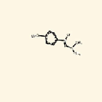 COc1ccc([N+]([O-])=NN(C)C)cc1